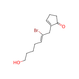 O=C1CCC=C1CC(Br)=CCCCCO